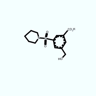 O=C(O)c1cc(CO)cc(S(=O)(=O)N2CCCCC2)c1